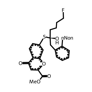 CCCCCCCCCc1ccccc1C[C@@](O)(CCCCF)Sc1ccc2c(=O)cc(C(=O)OC)oc2c1